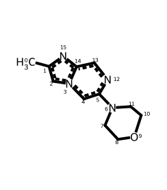 Cc1cn2cc(N3CCOCC3)ncc2n1